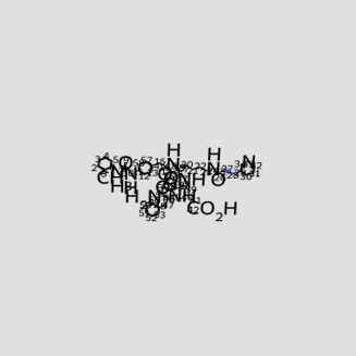 Cc1ccccc1NC(=O)Nc1ccc(CC(=O)N[C@@H](CCCCNC(=O)/C=C/c2cccnc2)C(=O)N[C@@H](CCCC(=O)O)C(=O)N[C@H](Cc2ccccc2)C(N)=O)cc1